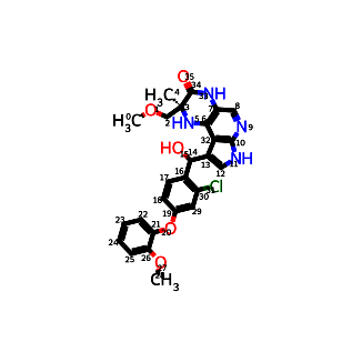 COC[C@]1(C)Nc2c(cnc3[nH]cc(C(O)c4ccc(Oc5ccccc5OC)cc4Cl)c23)NC1=O